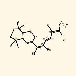 CC/C(C1=CC2=C(CC1)C(C)(C)CCC2(C)C)=C(F)/C=C/C(C)=C(\F)C(=O)O